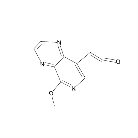 COc1ncc(C=C=O)c2nccnc12